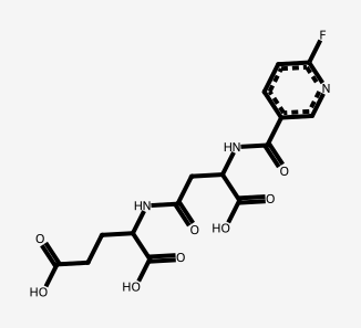 O=C(O)CCC(NC(=O)CC(NC(=O)c1ccc(F)nc1)C(=O)O)C(=O)O